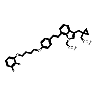 O=C(O)Cn1cc(CC2(CC(=O)O)CC2)c2cccc(/C=C/c3ccc(OCCCCOc4cccc(F)c4F)cc3)c21